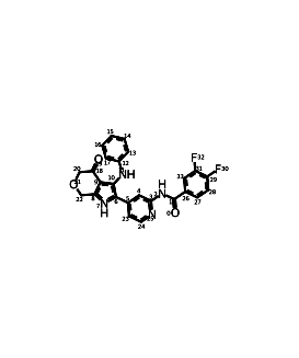 O=C(Nc1cc(-c2[nH]c3c(c2Nc2ccccc2)C(=O)COC3)ccn1)c1ccc(F)c(F)c1